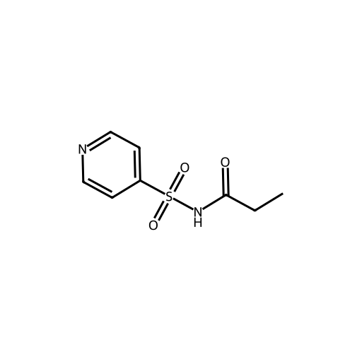 CCC(=O)NS(=O)(=O)c1ccncc1